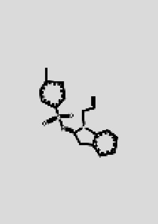 C=CCN1C(=NS(=O)(=O)c2ccc(C)cc2)Cc2ccccc21